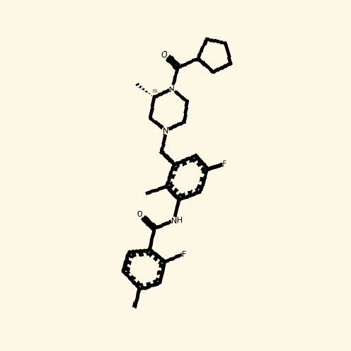 Cc1ccc(C(=O)Nc2cc(F)cc(CN3CCN(C(=O)C4CCCC4)[C@@H](C)C3)c2C)c(F)c1